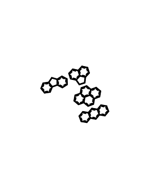 c1cc2c3c(cccc3c1)CC2.c1cc2ccc3cccc4ccc(c1)c2c34.c1ccc2c(c1)Cc1ccccc1-2.c1ccc2cc3ccccc3cc2c1